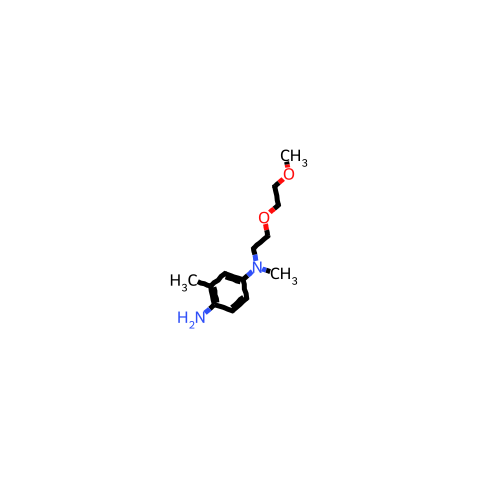 COCCOCCN(C)c1ccc(N)c(C)c1